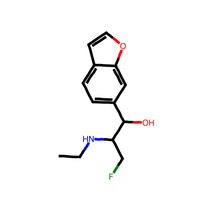 CCNC(CF)C(O)c1ccc2ccoc2c1